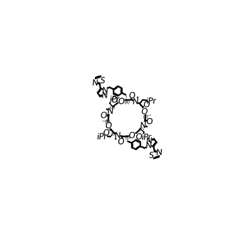 CC(C)CC1C(=O)O[C@H](C)C(=O)N(C)[C@@H](CC(C)C)C(=O)O[C@H](Cc2ccc(Cn3nccc3-c3nccs3)cc2)C(=O)N(C)[C@@H](CC(C)C)C(=O)O[C@H](C)C(=O)N(C)[C@@H](CC(C)C)C(=O)O[C@H](Cc2ccc(Cn3nccc3-c3nccs3)cc2)C(=O)N1C